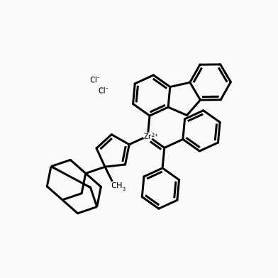 CC1(C23CC4CC(CC(C4)C2)C3)C=C[C]([Zr+2](=[C](c2ccccc2)c2ccccc2)[c]2cccc3c2Cc2ccccc2-3)=C1.[Cl-].[Cl-]